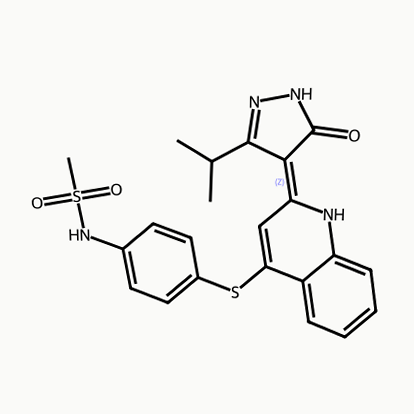 CC(C)C1=NNC(=O)/C1=C1/C=C(Sc2ccc(NS(C)(=O)=O)cc2)c2ccccc2N1